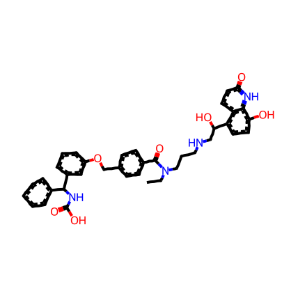 CCN(CCCNCC(O)c1ccc(O)c2[nH]c(=O)ccc12)C(=O)c1ccc(COc2cccc(C(NC(=O)O)c3ccccc3)c2)cc1